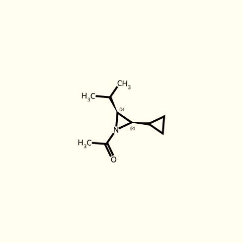 CC(=O)N1[C@H](C2CC2)[C@@H]1C(C)C